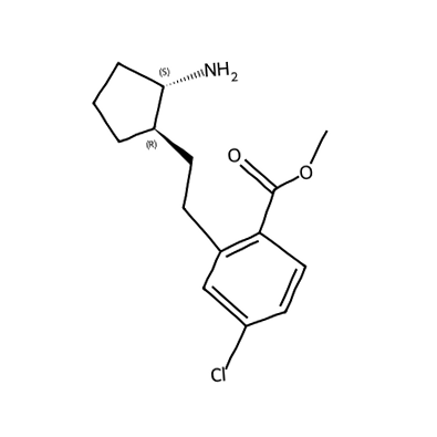 COC(=O)c1ccc(Cl)cc1CC[C@H]1CCC[C@@H]1N